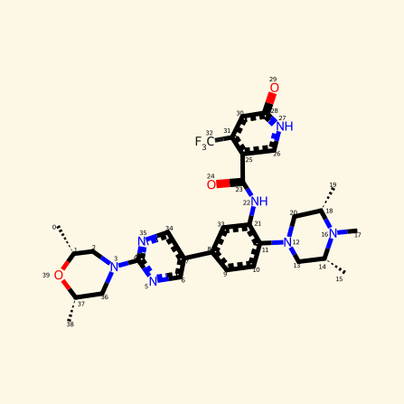 C[C@@H]1CN(c2ncc(-c3ccc(N4C[C@@H](C)N(C)[C@@H](C)C4)c(NC(=O)c4c[nH]c(=O)cc4C(F)(F)F)c3)cn2)C[C@H](C)O1